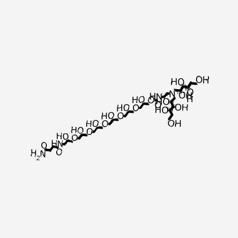 NC(=O)CCC(=O)NCC(O)COCC(O)COCC(O)COCC(O)COCC(O)COCC(O)COC(=O)NCCN(C[C@H](O)[C@@H](O)[C@H](O)CCO)C[C@H](O)[C@@H](O)[C@H](O)CCO